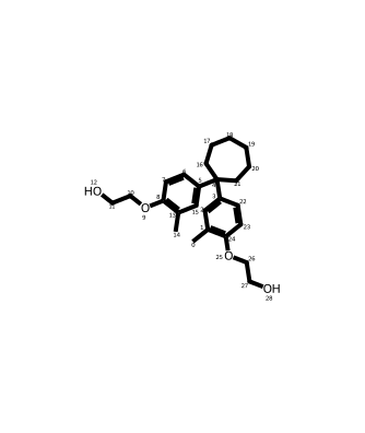 Cc1cc(C2(c3ccc(OCCO)c(C)c3)CCCCCC2)ccc1OCCO